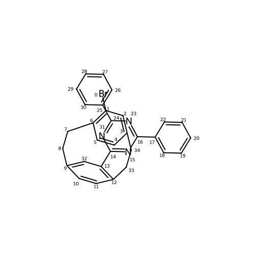 Brc1cc2ccc1CCc1ccc(c(-c3nc(-c4ccccc4)nc(-c4ccccc4)n3)c1)CC2